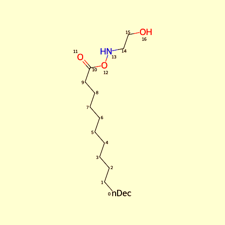 CCCCCCCCCCCCCCCCCCCC(=O)ONCCO